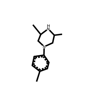 Cc1ccc(N2CC(C)NC(C)C2)cc1